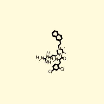 C[C@@H]1[C@@H](C)N(C(=O)[C@H](N)Cc2ccc(Cl)cc2Cl)[C@@H](CCCNC(=N)N)CN1CCc1ccc2ccccc2c1